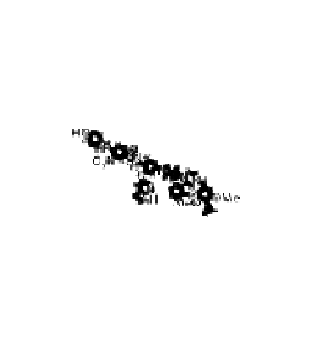 COc1cc(CN2CCN(C3CC4(C3)CN(c3ccc(C(=O)NS(=O)(=O)c5ccc(NC[C@H]6CC[C@](C)(O)CC6)c([N+](=O)[O-])c5)c(Oc5cnc6[nH]ccc6c5)c3)C4)[C@H](c3ccccc3C(C)C)C2)cc(OC)c1C1CC1